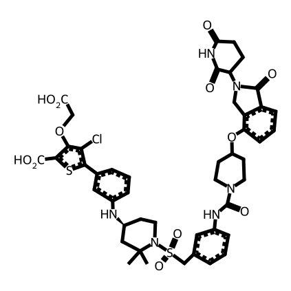 CC1(C)C[C@@H](Nc2cccc(-c3sc(C(=O)O)c(OCC(=O)O)c3Cl)c2)CCN1S(=O)(=O)Cc1cccc(NC(=O)N2CCC(Oc3cccc4c3CN(C3CCC(=O)NC3=O)C4=O)CC2)c1